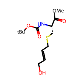 COC(=O)[C@H](CSCC=CCO)NC(=O)OC(C)(C)C